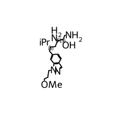 COCCCn1ncc2ccc(C[C@@H](C[C@H](N)[C@@H](O)CN)C(C)C)cc21